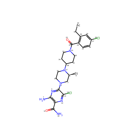 CC[C@H]1CN(c2nc(N)c(C(N)=O)nc2Cl)CCN1C1CCN(C(=O)c2ccc(Cl)cc2CC(C)=O)CC1